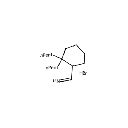 Br.CCCCCC1(CCCCC)CCCCC1C=N